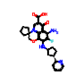 Nc1c(F)c(N[C@H]2CC[C@H](c3ccccn3)C2)c2c3c1c(=O)c(C(=O)O)cn3C1(CCCC1)CO2